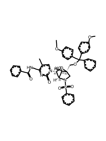 COc1ccc(C(OC[C@@]23CN(S(=O)(=O)c4ccccc4)[C@@H]([C@H](n4cc(C)c(NC(=O)c5ccccc5)nc4=O)O2)[C@@H]3O)(c2ccccc2)c2ccc(OC)cc2)cc1